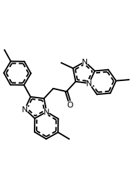 Cc1ccc(-c2nc3ccc(C)cn3c2CC(=O)c2c(C)nc3cc(C)ccn23)cc1